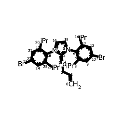 C=C[CH2][Pd]=[c]1n(-c2c(C(C)C)cc(Br)cc2C(C)C)ccn1-c1c(C(C)C)cc(Br)cc1C(C)C